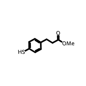 COC(=O)CCc1ccc(S)cc1